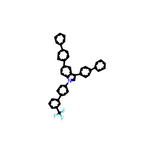 FC(F)(F)c1cccc(-c2ccc(-n3cc(-c4ccc(-c5ccccc5)cc4)c4cc(-c5ccc(-c6ccccc6)cc5)ccc43)cc2)c1